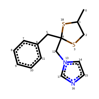 CC1CSC(Cc2ccccc2)(Cn2ccnc2)S1